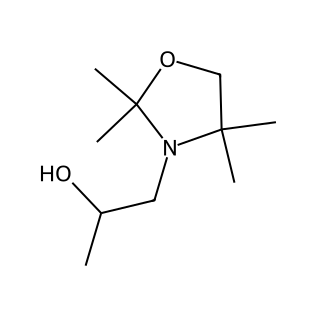 CC(O)CN1C(C)(C)COC1(C)C